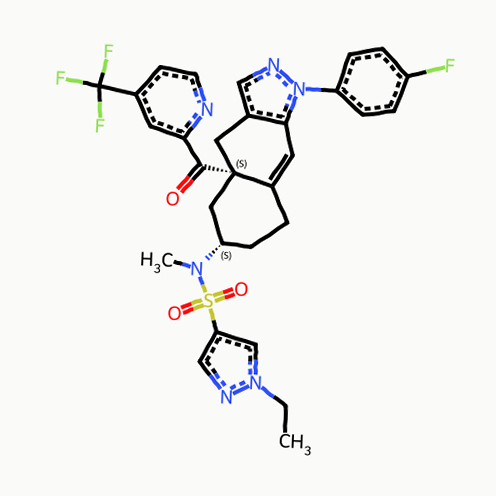 CCn1cc(S(=O)(=O)N(C)[C@H]2CCC3=Cc4c(cnn4-c4ccc(F)cc4)C[C@]3(C(=O)c3cc(C(F)(F)F)ccn3)C2)cn1